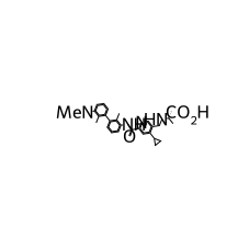 CNc1cccc(-c2cccc(NC(=O)c3cc(C4CC4)c(CN[C@@H](C)C(=O)O)cn3)c2C)c1C